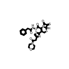 O=C(Cc1ccccc1)NOC(=O)C1=C(c2nc(CC(=O)N3CCOCC3)cs2)CS[C@H]2C(=S)C(=O)N12